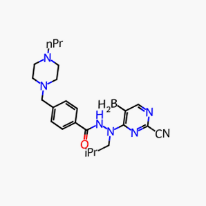 Bc1cnc(C#N)nc1N(CC(C)C)NC(=O)c1ccc(CN2CCN(CCC)CC2)cc1